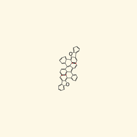 c1ccc(-c2cccc3c2oc2ccccc23)c(-c2c3ccccc3c(-c3ccccc3-c3cccc4c3oc3ccccc34)c3ccccc23)c1